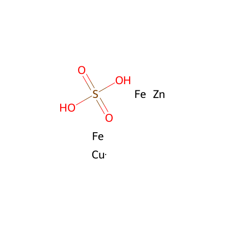 O=S(=O)(O)O.[Cu].[Fe].[Fe].[Zn]